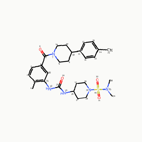 Cc1ccc(C(=O)N2CCC(c3ccc(C#N)cc3)CC2)cc1NC(=O)NC1CCN(S(=O)(=O)N(C)C)CC1